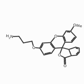 COc1ccc2c(c1)Oc1cc(OCCCN)ccc1C21OC(=O)C2C=CC=CC21